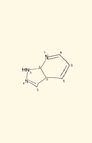 C1=CC2C=NNC2N=C1